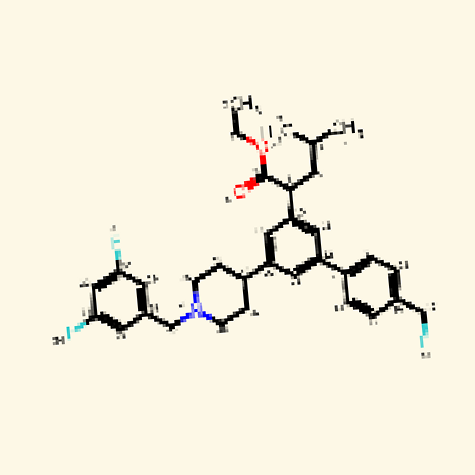 CCOC(=O)C(CC(C)C)c1cc(-c2ccc(CF)cc2)cc(C2CCN(Cc3cc(F)cc(F)c3)CC2)c1